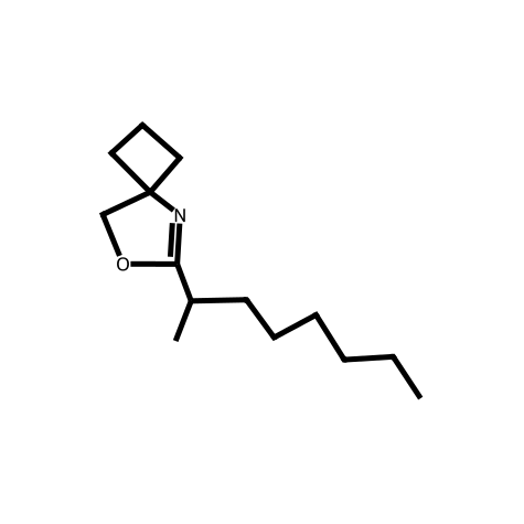 CCCCCCC(C)C1=NC2(CCC2)CO1